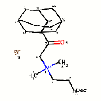 CCCCCCCCCCCC[N+](C)(C)CC(=O)C12CC3CC(CC(C3)C1)C2.[Br-]